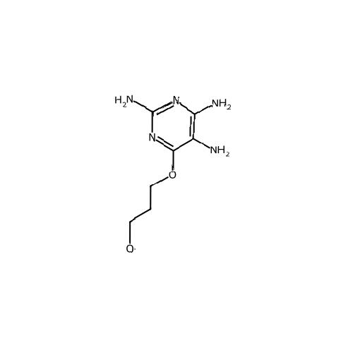 Nc1nc(N)c(N)c(OCCC[O])n1